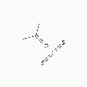 CC(C)=O.S=C=S